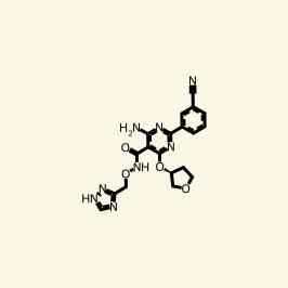 N#Cc1cccc(-c2nc(N)c(C(=O)NOCc3nc[nH]n3)c(O[C@H]3CCOC3)n2)c1